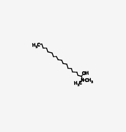 CCCCCCCCCCCCCCCCCC(O)N(C)C